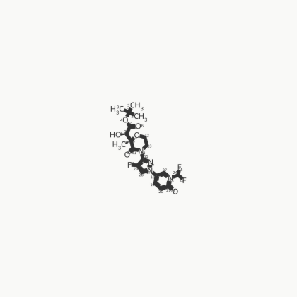 CC(C)(C)OC(=O)[C@H](O)[C@@]1(C)OCCN(c2nn(-c3ccc(=O)n(C(F)F)c3)cc2F)C1=O